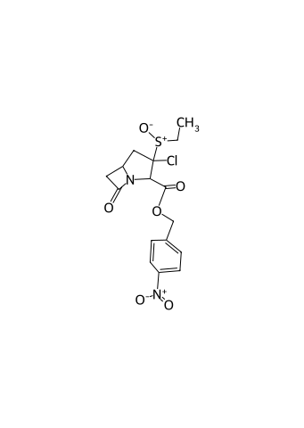 CC[S+]([O-])C1(Cl)CC2CC(=O)N2C1C(=O)OCc1ccc([N+](=O)[O-])cc1